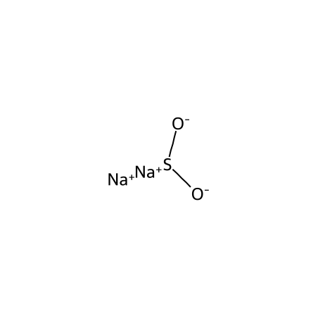 [Na+].[Na+].[O-]S[O-]